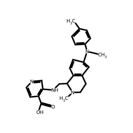 Cc1ccc(N(C)c2ccc3c(c2)CCN(C)C3CNc2cnccc2C(=O)O)cc1